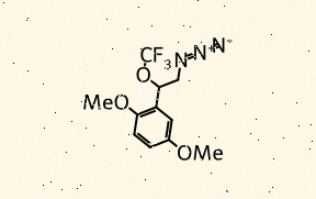 COc1ccc(OC)c(C(CN=[N+]=[N-])OC(F)(F)F)c1